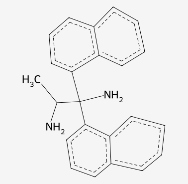 CC(N)C(N)(c1cccc2ccccc12)c1cccc2ccccc12